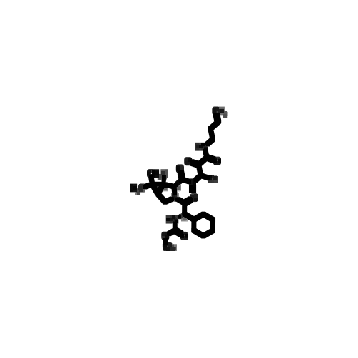 C=CCCNC(=O)C(=O)C(CC)NC(=O)[C@@H]1[C@@H]2C(CN1C(=O)[C@@H](NC(=O)OC(C)(C)C)C1CCCCC1)C2(C)C